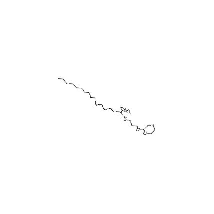 CCCCCCCCCCCCCCCC(O)SCCCOC1CCCCO1